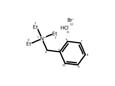 CC[N+](CC)(CC)Cc1ccccc1.Cl.[Br-]